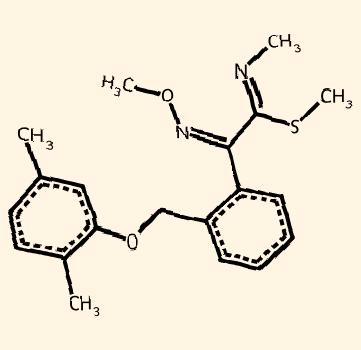 CN=C(SC)C(=NOC)c1ccccc1COc1cc(C)ccc1C